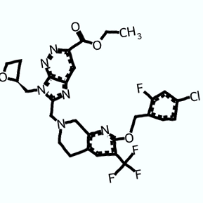 CCOC(=O)c1cc2nc(CN3CCc4cc(C(F)(F)F)c(OCc5ccc(Cl)cc5F)nc4C3)n(C[C@@H]3CCO3)c2nn1